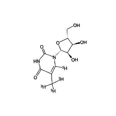 [2H]c1c(C([2H])([2H])[2H])c(=O)[nH]c(=O)n1[C@@H]1O[C@H](CO)[C@@H](O)[C@H]1O